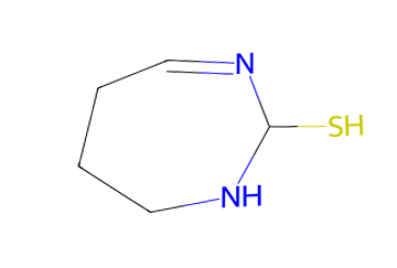 SC1N=CCCCN1